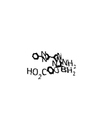 Bc1c(Oc2ccc(C(=O)O)cc2)nc2c(-c3cnc(-c4ccccc4)nc3)cnn2c1N